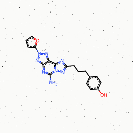 Nc1nc2nn(-c3ccco3)nc2c2nc(CCCc3ccc(O)cc3)nn12